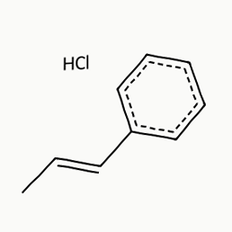 CC=Cc1ccccc1.Cl